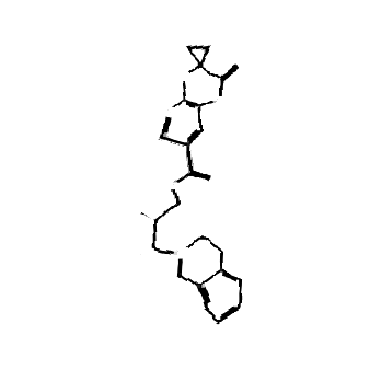 C[C@H]([C@@H](O)CNC(=O)c1cnc2c(c1)NC(=O)C1(CC1)O2)N1CCc2ccccc2C1